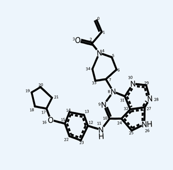 C=CC(=O)N1CCC(N2N=C(Nc3ccc(OC4CCCC4)cc3)c3c[nH]c4ncnc2c34)CC1